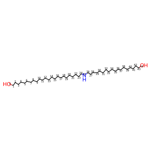 OCCCCCCCCCCCCCCCCCCCCCCCCNCCCCCCCCCCCCCCCCCCO